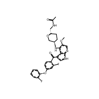 COc1cnc2[nH]cc(C(=O)c3ccc(Oc4ccccc4F)cc3F)c2c1N[C@@H]1CC[C@@H](CNC(C)=O)OC1